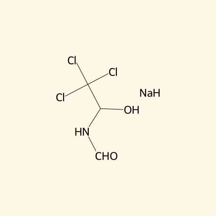 O=CNC(O)C(Cl)(Cl)Cl.[NaH]